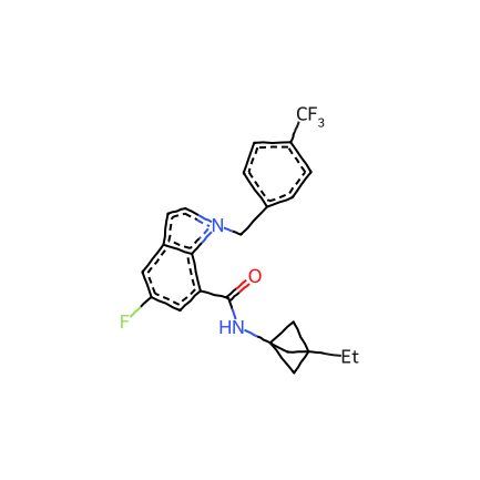 CCC12CC(NC(=O)c3cc(F)cc4ccn(Cc5ccc(C(F)(F)F)cc5)c34)(C1)C2